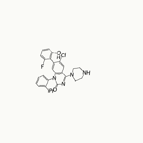 CC(C)c1ccccc1-n1c(=O)nc(N2CCNCC2)c2cc(Cl)c(-c3c(O)cccc3F)cc21